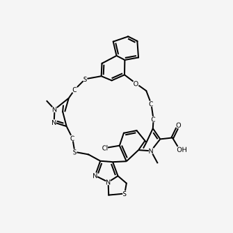 Cn1nc2cc1CSc1cc(c3ccccc3c1)OCCCc1c(C(=O)O)n(C)c3c(c(Cl)ccc13)-c1c(nn3c1CSC3)CSC2